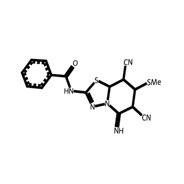 CSC1C(C#N)C(=N)N2N=C(NC(=O)c3ccccc3)SC2C1C#N